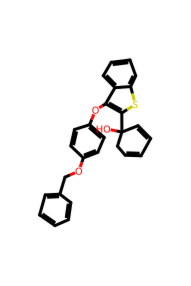 OC1(c2sc3ccccc3c2Oc2ccc(OCc3ccccc3)cc2)C=CC=CC1